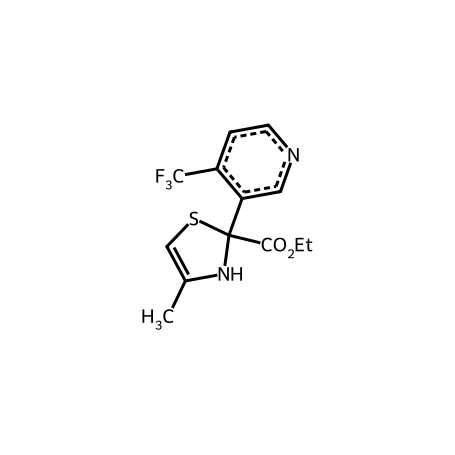 CCOC(=O)C1(c2cnccc2C(F)(F)F)NC(C)=CS1